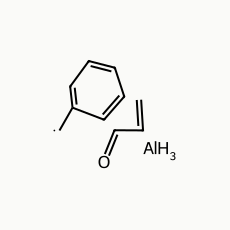 C=CC=O.[AlH3].[CH2]c1ccccc1